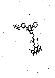 CC1=CC(C)=[N+]2C1=C(CCC(=O)NCCc1cc3nc(-c4cccc(O[Si](C)(C)C(C)(C)C)c4)nc(N4CCOCC4)c3s1)c1c(C)cc(C)n1[B-]2(F)F